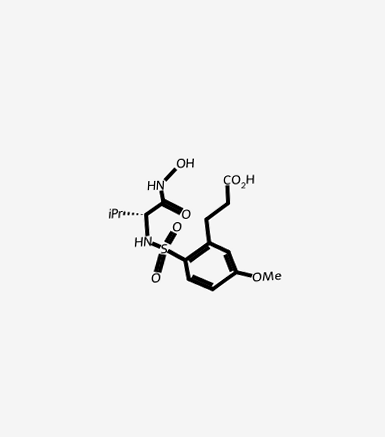 COc1ccc(S(=O)(=O)N[C@@H](C(=O)NO)C(C)C)c(CCC(=O)O)c1